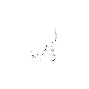 O=C(NCCc1c[nH]cn1)NC(Cc1ccccc1)C(=O)N1CCC(C(=O)O)(C2CCCC2)CC1